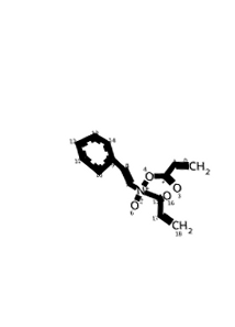 C=CC(=O)O[N+]([O-])(C=Cc1ccccc1)C(=O)C=C